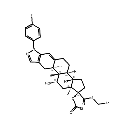 CCC(=O)O[C@]1(C(=O)SCC(C)=O)CC[C@H]2[C@@H]3CCC4=Cc5c(cnn5-c5ccc(F)cc5)C[C@]4(C)[C@H]3[C@@H](O)C[C@@]21C